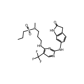 CCCS(=O)(=O)N(C)CCCNc1nc(Nc2ccc3c(c2)NC(=O)C3)ncc1C(F)(F)F